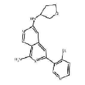 CCc1ccncc1-c1cc2cc(NC3CCOC3)ncc2c(N)n1